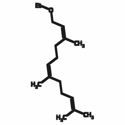 CCOCC=C(C)CCC=C(C)CCC=C(C)C